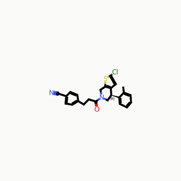 Cc1ccccc1[C@H]1CN(C(=O)CCc2ccc(C#N)cc2)Cc2sc(Cl)cc21